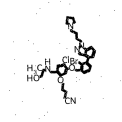 CC(CO)NCc1cc(Cl)c(OCc2cccc(-c3cccc4c3cnn4CCCCN3CCCC3)c2Br)cc1OCCCCC#N